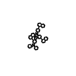 C1=CCCC(N(c2ccccc2)c2ccc3c(c2)-c2cccc4ccc(N(c5ccc(-c6cccc7ccccc67)cc5)c5ccc(-c6cccc7ccccc67)cc5)c(c24)O3)=C1